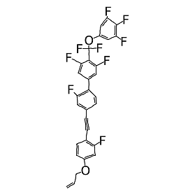 C=CCOc1ccc(C#Cc2ccc(-c3cc(F)c(C(F)(F)Oc4cc(F)c(F)c(F)c4)c(F)c3)c(F)c2)c(F)c1